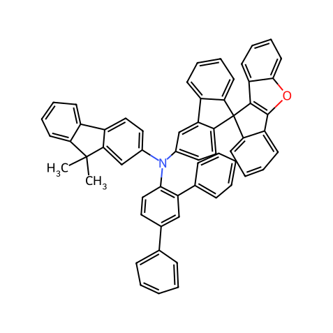 CC1(C)c2ccccc2-c2ccc(N(c3ccc4c(c3)-c3ccccc3C43c4ccccc4-c4oc5ccccc5c43)c3ccc(-c4ccccc4)cc3-c3ccccc3)cc21